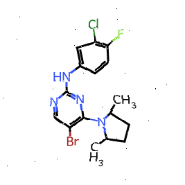 CC1CCC(C)N1c1nc(Nc2ccc(F)c(Cl)c2)ncc1Br